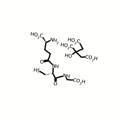 N[C@@H](CCC(=O)N[C@@H](CS)C(=O)NCC(=O)O)C(=O)O.O=C(O)CC(O)(CC(=O)O)C(=O)O